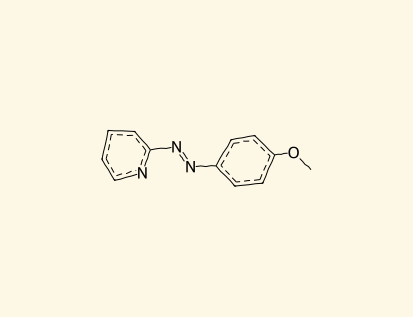 COc1ccc(/N=N/c2ccccn2)cc1